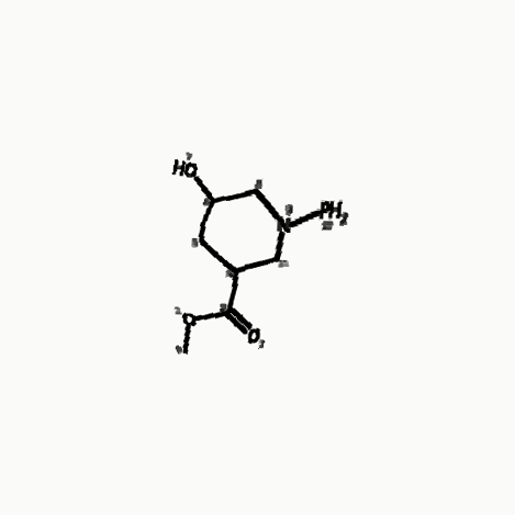 COC(=O)C1CC(O)CN(P)C1